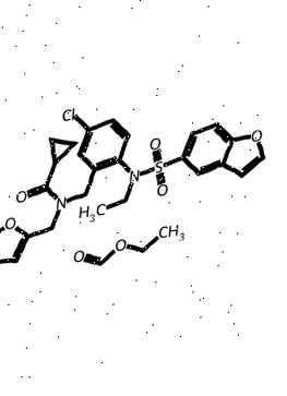 CCN(c1ccc(Cl)cc1CN(Cc1ccco1)C(=O)C1CC1)S(=O)(=O)c1ccc2occc2c1.CCOC=O